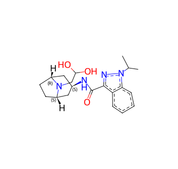 CC(C)n1nc(C(=O)N[C@@H]2C[C@H]3CC[C@@H](C2)N3CC(O)O)c2ccccc21